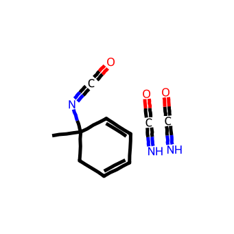 CC1(N=C=O)C=CC=CC1.N=C=O.N=C=O